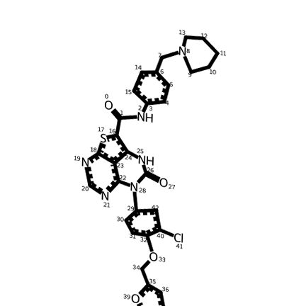 O=C(Nc1ccc(CN2CCCCC2)cc1)c1sc2ncnc3c2c1NC(=O)N3c1ccc(OCc2ccco2)c(Cl)c1